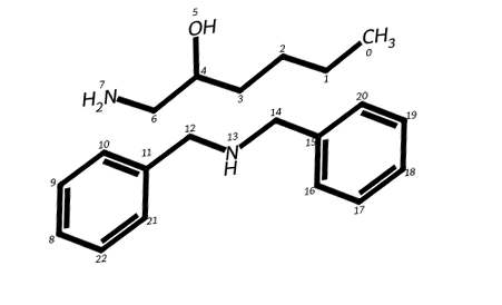 CCCCC(O)CN.c1ccc(CNCc2ccccc2)cc1